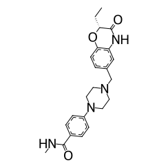 CC[C@H]1Oc2ccc(CN3CCN(c4ccc(C(=O)NC)cc4)CC3)cc2NC1=O